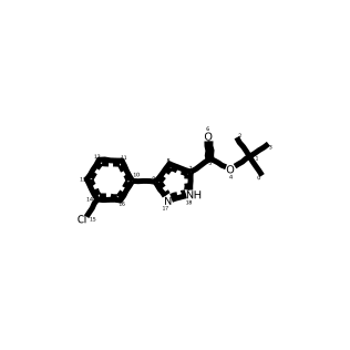 CC(C)(C)OC(=O)c1cc(-c2cccc(Cl)c2)n[nH]1